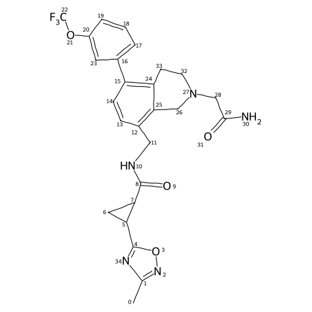 Cc1noc(C2CC2C(=O)NCc2ccc(-c3cccc(OC(F)(F)F)c3)c3c2CN(CC(N)=O)CC3)n1